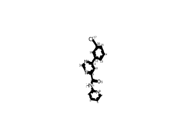 O=C(Nc1ccccn1)c1cc(-c2cccc(Cl)c2)ncn1